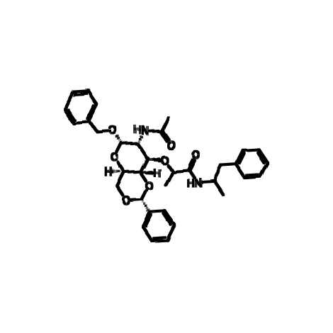 CC(=O)N[C@H]1[C@@H](OCc2ccccc2)O[C@@H]2CO[C@@H](c3ccccc3)O[C@H]2[C@@H]1OC(C)C(=O)NC(C)Cc1ccccc1